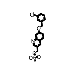 CS(=O)(=O)OCc1cnc2cc(OCc3cccc(Cl)c3)ccc2c1